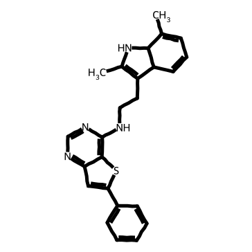 CC1=CC=CC2C(CCNc3ncnc4cc(-c5ccccc5)sc34)=C(C)NC12